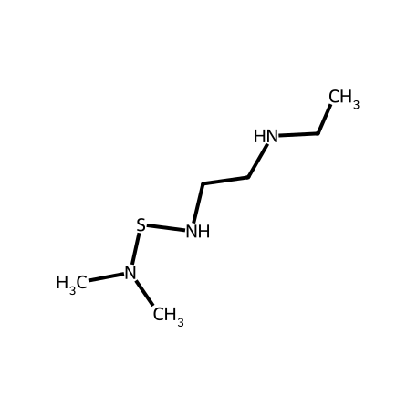 CCNCCNSN(C)C